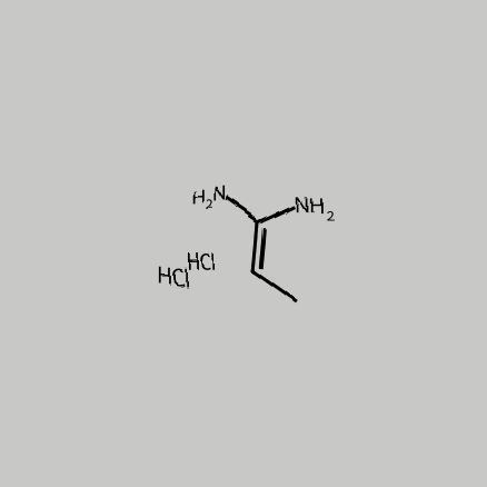 CC=C(N)N.Cl.Cl